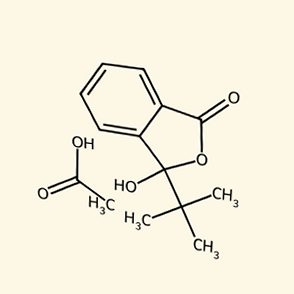 CC(=O)O.CC(C)(C)C1(O)OC(=O)c2ccccc21